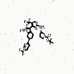 CC(C)(C)OC(=O)N1CCC[C@H](Nc2ncc(C(F)(F)F)c(-c3c[nH]c4cc(-c5ccn(C(F)F)n5)ccc34)n2)C1